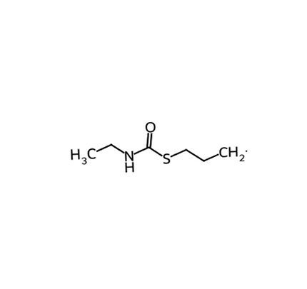 [CH2]CCSC(=O)NCC